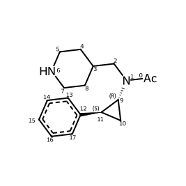 CC(=O)N(CC1CCNCC1)[C@@H]1C[C@H]1c1ccccc1